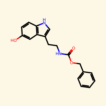 O=C(NCCc1c[nH]c2ccc(O)cc12)OCc1ccccc1